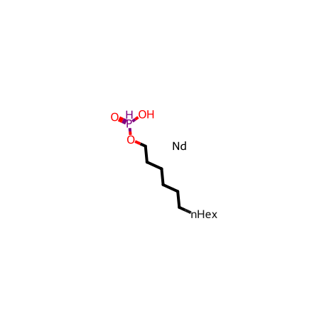 CCCCCCCCCCCCO[PH](=O)O.[Nd]